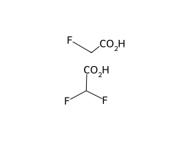 O=C(O)C(F)F.O=C(O)CF